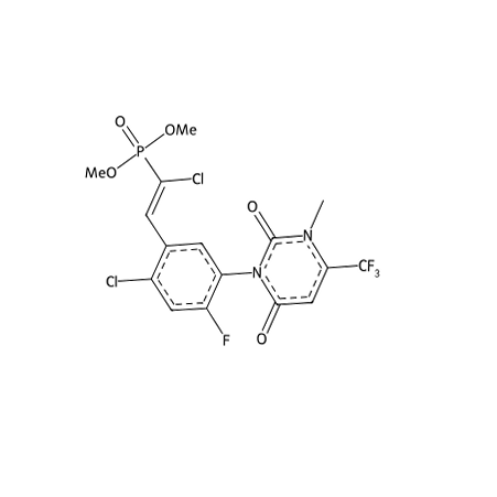 COP(=O)(OC)C(Cl)=Cc1cc(-n2c(=O)cc(C(F)(F)F)n(C)c2=O)c(F)cc1Cl